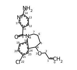 C=CCOC1CCCN(C(=O)c2ccc(N)nc2)c2ccc(Cl)cc21